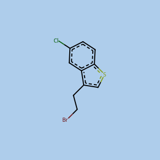 Clc1ccc2scc(CCBr)c2c1